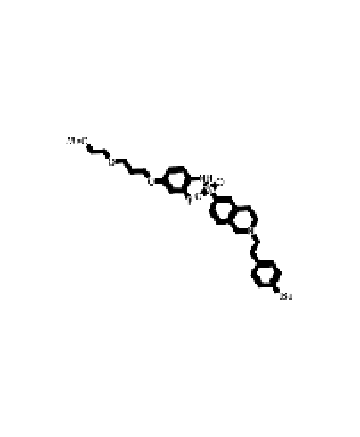 COCCOCCCOc1ccc(NS(=O)(=O)c2ccc3c(c2)CCN(CCc2ccc(C(C)(C)C)cc2)C3)c(F)c1